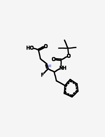 CC(C)(C)OC(=O)NC(Cc1ccccc1)/C(F)=C/CC(=O)O